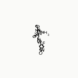 Nc1nc2c(sc(=O)n2CCN2CCN(c3cc4c(cc3F)=NC(=O)C=4)CC2)c2nc(-c3ccco3)nn12